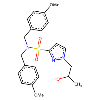 COc1ccc(CN(Cc2ccc(OC)cc2)S(=O)(=O)c2ccn(CC(C)O)n2)cc1